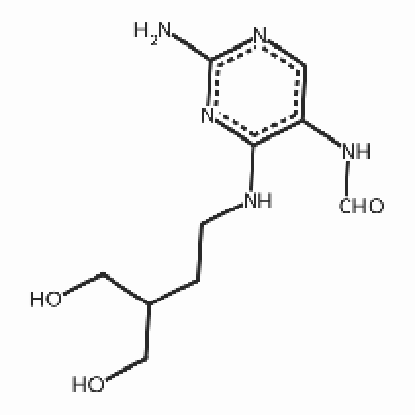 Nc1ncc(NC=O)c(NCCC(CO)CO)n1